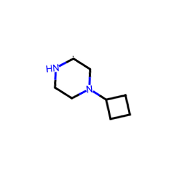 [CH]1CN(C2CCC2)CCN1